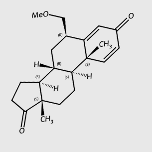 COC[C@@H]1C[C@@H]2[C@H](CC[C@]3(C)C(=O)CC[C@@H]23)[C@@]2(C)C=CC(=O)C=C12